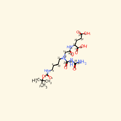 CC(C)(C)OC(=O)NCCCCN(CC(=O)NC(CCC(=O)O)C(=O)O)C(=O)NC(N)=O